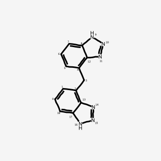 c1cc(Cc2cccc3[nH]nnc23)c2nn[nH]c2c1